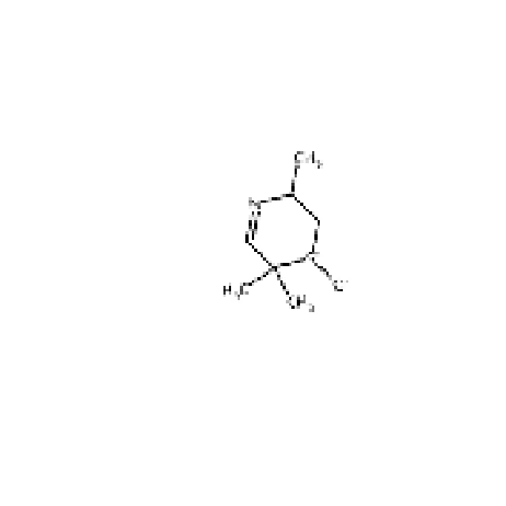 CC1C[S+]([O-])C(C)(C)C=N1